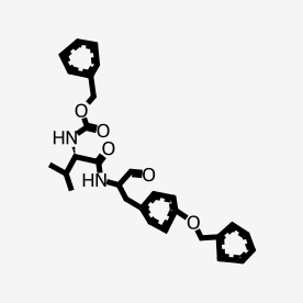 CC(C)[C@H](NC(=O)OCc1ccccc1)C(=O)NC(C=O)Cc1ccc(OCc2ccccc2)cc1